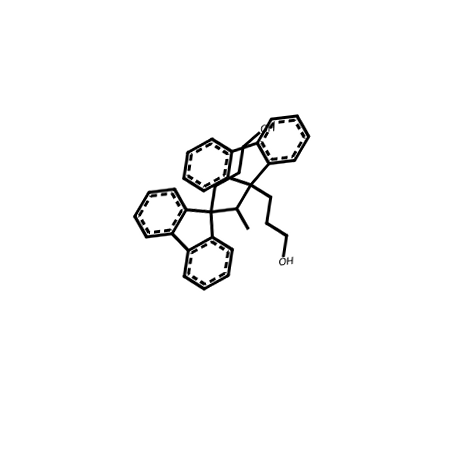 CC(C1(CCCO)c2ccccc2-c2ccccc21)C1(CCCO)c2ccccc2-c2ccccc21